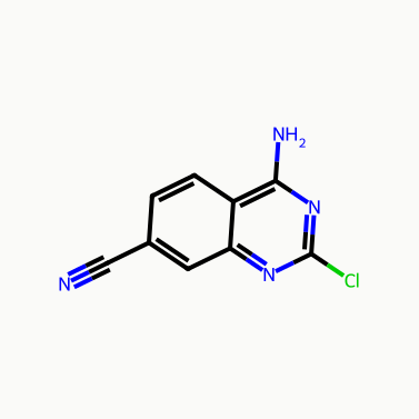 N#Cc1ccc2c(N)nc(Cl)nc2c1